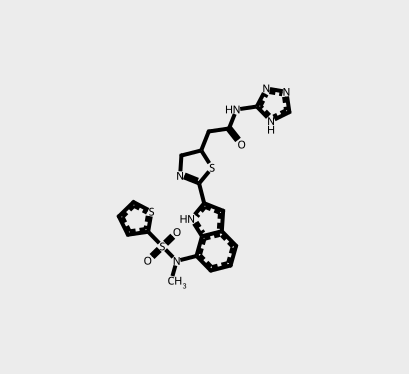 CN(c1cccc2cc(C3=NCC(CC(=O)Nc4nnc[nH]4)S3)[nH]c12)S(=O)(=O)c1cccs1